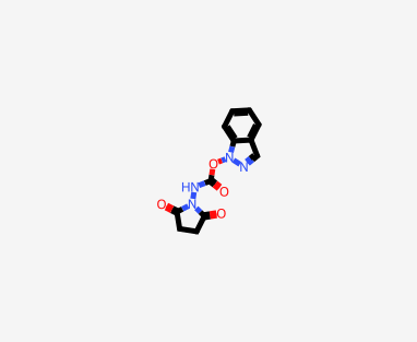 O=C(NN1C(=O)CCC1=O)On1ncc2ccccc21